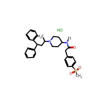 CCN(C(=O)Cc1ccc(S(C)(=O)=O)cc1)C1CCN(C(C)CC(c2ccccc2)c2ccccc2)CC1.Cl